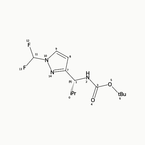 CC(C)[C@@H](NC(=O)OC(C)(C)C)c1ccn(C(F)F)n1